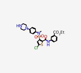 CCOC(=O)c1cccc(NC(=O)c2sc(Cl)cc2S(=O)(=O)N(C)c2ccc(N3CCNCC3)cc2)c1